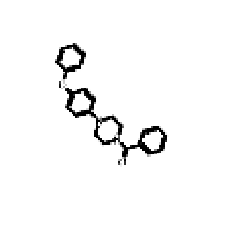 O=C(c1ccccc1)N1CCN(c2ccc(Oc3ccccc3)cc2)CC1